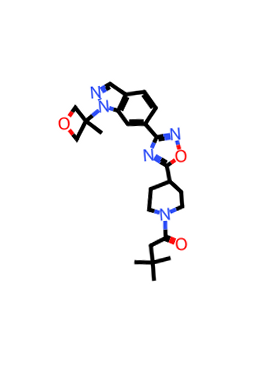 CC(C)(C)CC(=O)N1CCC(c2nc(-c3ccc4cnn(C5(C)COC5)c4c3)no2)CC1